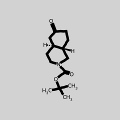 CC(C)(C)OC(=O)N1CC[C@H]2CC(=O)CC[C@@H]2C1